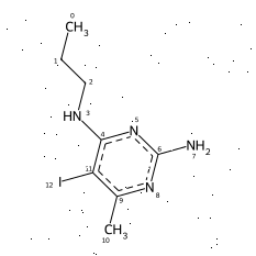 CCCNc1nc(N)nc(C)c1I